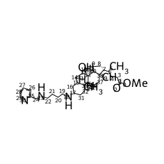 COC(=O)CC[C@@H](C)[C@H]1CC[C@H]2[C@@H]3[C@H](O)CC4C[C@@H](NCCCCNCc5ccccn5)CC[C@]4(C)[C@H]3CC[C@]12C